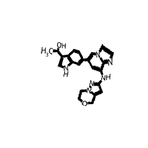 CC(O)c1c[nH]c2cc(-c3cc(Nc4cc5n(n4)CCOC5)c4nccn4c3)ccc12